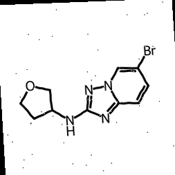 Brc1ccc2nc(NC3CCOC3)nn2c1